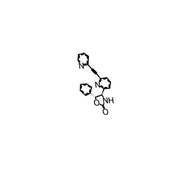 O=C1N[C@H](c2cccc(C#Cc3ccccn3)n2)[C@@H](c2ccccc2)O1